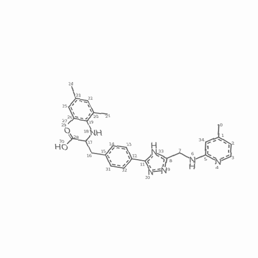 Cc1ccnc(NCc2nnc(-c3ccc(CC(Nc4c(C)cc(C)cc4C)C(=O)O)cc3)[nH]2)c1